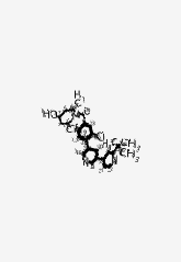 C[C@H]1CC(O)C[C@H](C)N1C(=O)c1ccc(-c2cncc(-c3ccnc(C(C)(C)C)c3)c2)c(Cl)c1